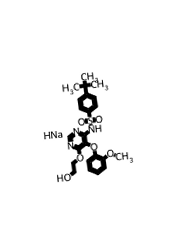 COc1ccccc1Oc1c(NS(=O)(=O)c2ccc(C(C)(C)C)cc2)ncnc1OCCO.[NaH]